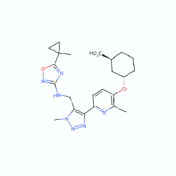 Cc1nc(-c2nnn(C)c2CNc2noc(C3(C)CC3)n2)ccc1O[C@H]1CCC[C@H](C(=O)O)C1